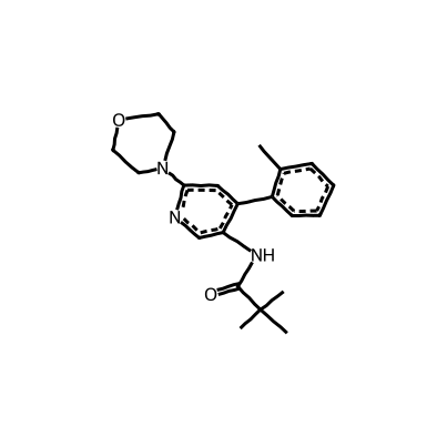 Cc1ccccc1-c1cc(N2CCOCC2)ncc1NC(=O)C(C)(C)C